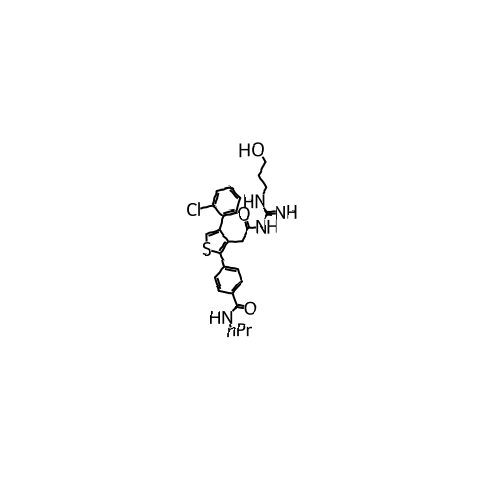 CCCNC(=O)c1ccc(-c2scc(-c3ccccc3Cl)c2CC(=O)NC(=N)NCCCO)cc1